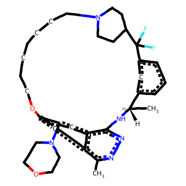 Cc1nnc2c3cc(N4CCOCC4)c(cc13)OCCCCCCCN1CCC(CC1)C(F)(F)c1cccc(c1)[C@H](C)N2